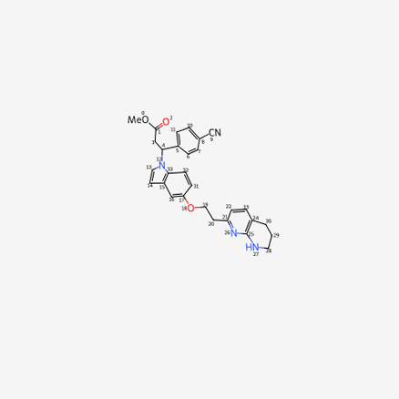 COC(=O)CC(c1ccc(C#N)cc1)n1ccc2cc(OCCc3ccc4c(n3)NCCC4)ccc21